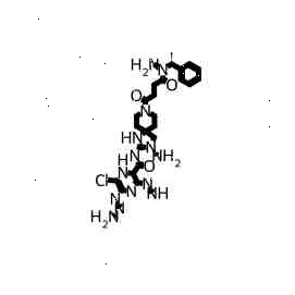 C[C@H](c1ccccc1)N(N)C(=O)CCC(=O)N1CCC2(CC1)CN(N)/C(=N\C(=O)C1NC(Cl)=C(N=NN)N=C1N=N)N2